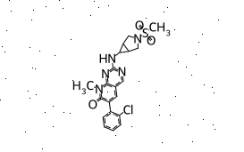 Cn1c(=O)c(-c2ccccc2Cl)cc2cnc(NC3C4CN(S(C)(=O)=O)CC43)nc21